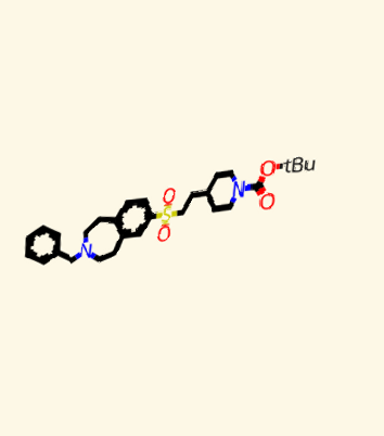 CC(C)(C)OC(=O)N1CCC(CCS(=O)(=O)c2ccc3c(c2)CCN(Cc2ccccc2)CC3)CC1